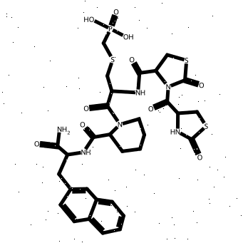 NC(=O)C(Cc1ccc2ccccc2c1)NC(=O)C1CCCCN1C(=O)C(CSCP(=O)(O)O)NC(=O)C1CSC(=O)N1C(=O)C1CSC(=O)N1